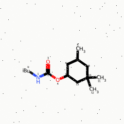 CCC(C)NC(=O)OC1CC(C)CC(C)(C)C1